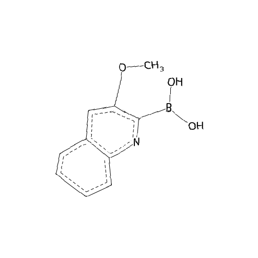 COc1cc2ccccc2nc1B(O)O